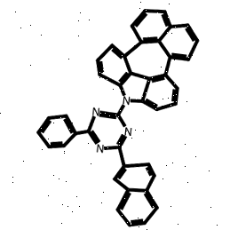 c1ccc(-c2nc(-c3ccc4ccccc4c3)nc(-n3c4cccc5c4c4c(cccc43)-c3cccc4cccc-5c34)n2)cc1